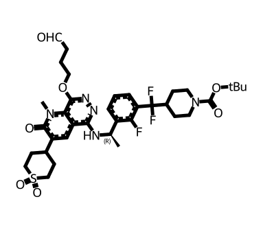 C[C@@H](Nc1nnc(OCCCC=O)c2c1cc(C1CCS(=O)(=O)CC1)c(=O)n2C)c1cccc(C(F)(F)C2CCN(C(=O)OC(C)(C)C)CC2)c1F